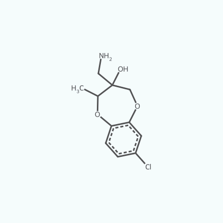 CC1Oc2ccc(Cl)cc2OCC1(O)CN